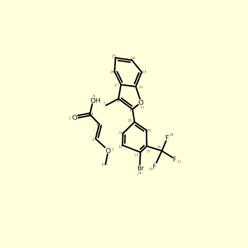 CO/C=C/C(=O)O.Cc1c(-c2ccc(Br)c(C(F)(F)F)c2)oc2ccccc12